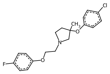 CC1(Oc2ccc(Cl)cc2)CCN(CCOc2ccc(F)cc2)C1